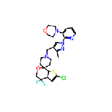 Cc1nn(-c2ncccc2N2CCOCC2)cc1CN1CCC2(CC1)OCC(F)(F)C1C=C(Cl)SC12